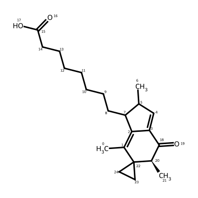 CC1=C2C(=CC(C)C2CCCCCCCC(=O)O)C(=O)[C@@H](C)C12CC2